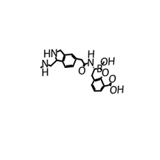 CNCC1NCc2cc(CC(=O)N[C@H]3Cc4cccc(C(=O)O)c4OB3O)ccc21